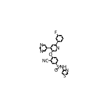 N#Cc1cc([S+]([O-])Nc2cscn2)ccc1Oc1cnc(-c2cccc(F)c2)cc1-c1cncnc1